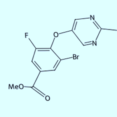 COC(=O)c1cc(F)c(Oc2cnc(C)nc2)c(Br)c1